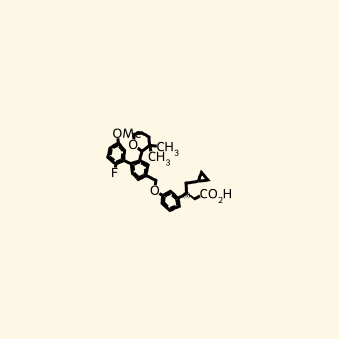 COc1ccc(F)c(-c2ccc(COc3cccc([C@H](CC(=O)O)CC4CC4)c3)cc2C2OCCCC2(C)C)c1